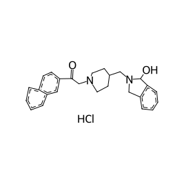 Cl.O=C(CN1CCC(CN2Cc3ccccc3C2O)CC1)c1ccc2ccccc2c1